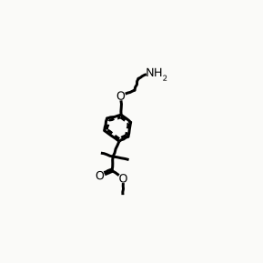 COC(=O)C(C)(C)c1ccc(OCCN)cc1